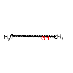 CCCCCCCCCCCCCC=CCCCCCCCCCCCC(O)CCCCCCCCCC